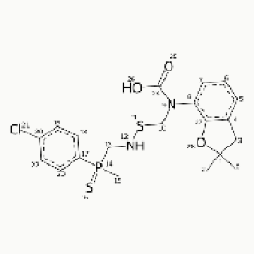 CC1(C)Cc2cccc(N(CSNCP(C)(=S)c3ccc(Cl)cc3)C(=O)O)c2O1